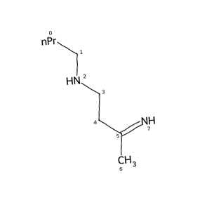 CCCCNCCC(C)=N